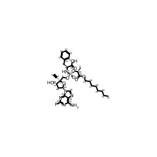 C#C[C@]1(COP(=O)(N[C@@H](Cc2ccccc2)C(=O)O)O[C@@H](C)C(=O)OCCCCCCCC)O[C@@H](n2cnc3c(N)nc(F)nc32)C[C@@H]1O